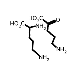 NCCCC(=O)C(=O)O.NCCCC(N)C(=O)O